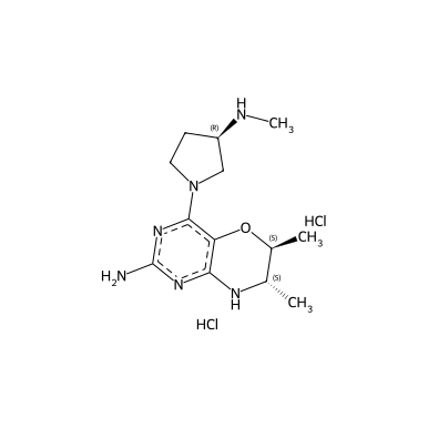 CN[C@@H]1CCN(c2nc(N)nc3c2O[C@@H](C)[C@H](C)N3)C1.Cl.Cl